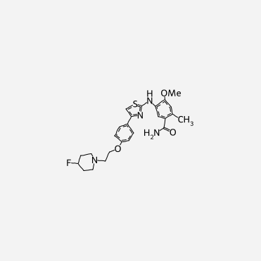 COc1cc(C)c(C(N)=O)cc1Nc1nc(-c2ccc(OCCN3CCC(F)CC3)cc2)cs1